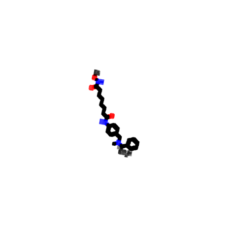 CCONC(=O)CCCCCCC(=O)Nc1ccc(CN(C)[C@H](C(=O)O)c2ccccc2)cc1